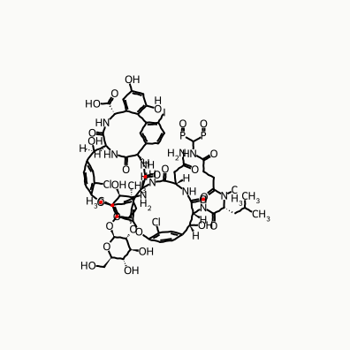 CC(C)C[C@H](C(=O)N[C@H]1C(=O)N[C@@H](CC(N)=O)C(=O)N[C@H]2C(=O)N[C@H]3C(=O)N[C@H](C(=O)N[C@H](C(=O)O)c4cc(O)cc(O)c4-c4cc3ccc4I)[C@H](O)c3ccc(c(Cl)c3)Oc3cc2cc(c3O[C@@H]2O[C@H](CO)[C@@H](O)[C@H](O)[C@H]2O[C@H]2C[C@](C)(N)[C@H](O)[C@H](C)O2)Oc2ccc(cc2Cl)[C@H]1O)N(C)C(=O)CCC(=O)NC(P=O)P=O